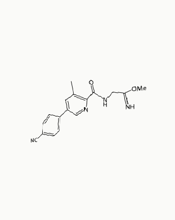 COC(=N)CNC(=O)c1ncc(-c2ccc(C#N)cc2)cc1C